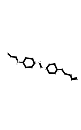 C=CCCC[C@H]1CC[C@H](CC[C@H]2CC[C@H](OCCC)CC2)CC1